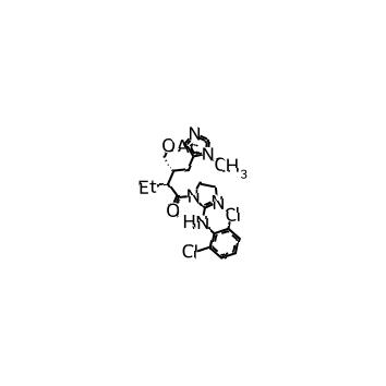 CC[C@H](C(=O)N1CCN=C1Nc1c(Cl)cccc1Cl)[C@H](COC(C)=O)Cc1cncn1C